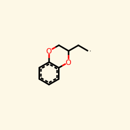 [CH2]CC1COc2ccccc2O1